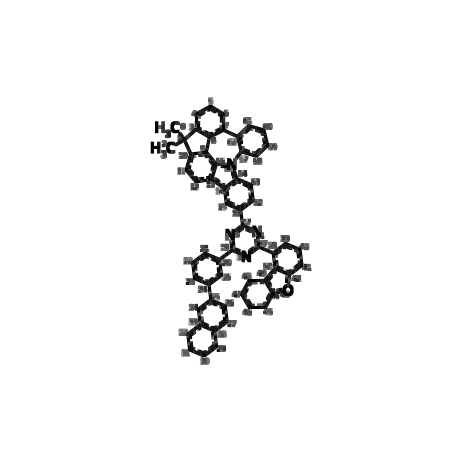 CC1(C)c2cccc3c2-c2c1ccc1c4cc(-c5nc(-c6cccc(-c7ccc8ccccc8c7)c6)nc(-c6cccc7oc8ccccc8c67)n5)ccc4n(c21)-c1ccccc1-3